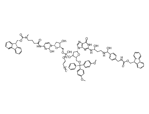 [C-]#[N+]CCO[PH](O)(OC[C@H]1OC(N2C=CC(NC(=O)CCCN(C)C(=O)OCC3c4ccccc4-c4ccccc43)=NC2O)CC1O)OC1C[C@H](n2cnc3c(=O)[nH]c(NC(O)CCNC(O)c4ccc(CNC(=O)OCC5c6ccccc6-c6ccccc65)cc4)nc32)OC1COC(c1ccccc1)(c1ccc(OC)cc1)c1ccc(OC)cc1